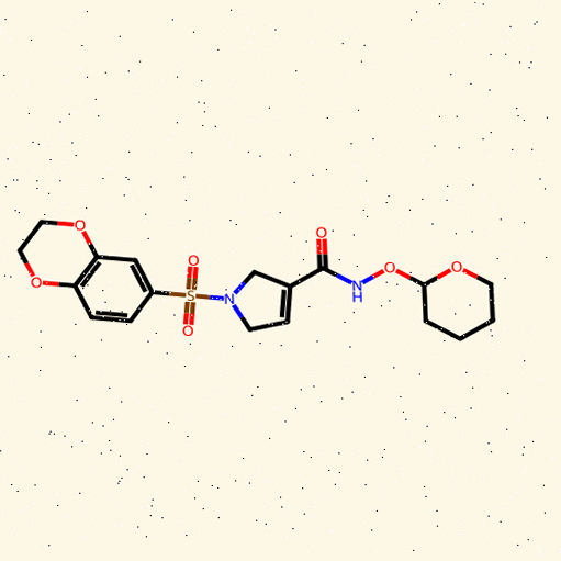 O=C(NOC1CCCCO1)C1=CCN(S(=O)(=O)c2ccc3c(c2)OCCO3)C1